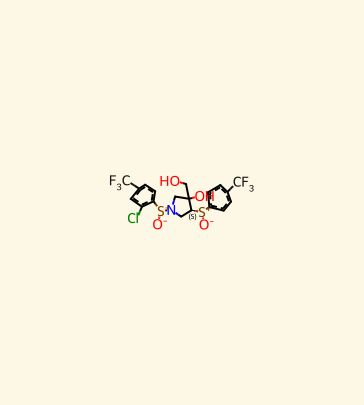 [O-][S+](c1ccc(C(F)(F)F)cc1)[C@H]1CN([S+]([O-])c2ccc(C(F)(F)F)cc2Cl)CC1(O)CO